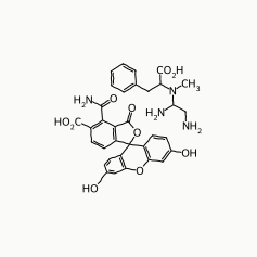 CN(C(N)CN)C(Cc1ccccc1)C(=O)O.NC(=O)c1c(C(=O)O)ccc2c1C(=O)OC21c2ccc(O)cc2Oc2cc(O)ccc21